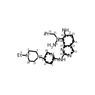 CCN1CCN(c2ccc(Nc3ncc4ccc(N)c(N(N)CC(C)C)c4n3)nc2)CC1